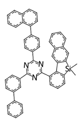 C[Si]1(C)c2cc3ccccc3cc2-c2c(-c3nc(-c4ccc(-c5cccc6ccccc56)cc4)nc(-c4cccc(-c5ccccc5)c4)n3)cccc21